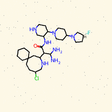 NC(N)C(C(=O)NC1CNCCC1N1CCC(N2CC[C@@H](F)C2)CC1)C1CC2(CCCCC2)CCC(Cl)CN1